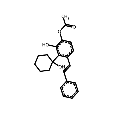 CC(=O)Oc1ccc(C=Cc2ccccc2)c(C2(O)CCCCC2)c1O